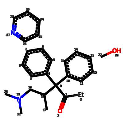 CCC(=O)C(c1ccccc1)(c1ccccc1)C(C)CN(C)C.CO.c1ccncc1